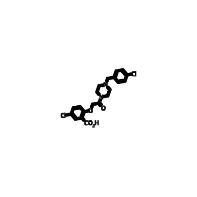 O=C(O)c1cc(Cl)ccc1OCC(=O)N1CCN(Cc2ccc(Cl)cc2)CC1